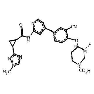 Cn1cnc(C2CC2C(=O)Nc2cc(-c3ccc(O[C@H]4CCN(C(=O)O)C[C@H]4F)c(C#N)c3)ccn2)n1